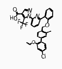 CCOc1cc(Cl)ccc1-c1ccc(COc2ccccc2-c2cccc(-n3ncc(C(=O)O)c3C(F)(F)F)n2)c(C)c1